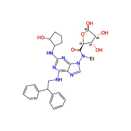 CCN(C(=O)[C@H]1O[C@@H](O)[C@H](O)[C@@H]1O)n1cnc2c(NCC(c3ccccc3)c3ccccc3)nc(NC3CCCC3O)nc21